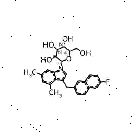 Cc1cc(C)c2c(Cc3ccc4cc(F)ccc4c3)cn([C@@H]3O[C@H](CO)[C@@H](O)[C@H](O)[C@H]3O)c2c1